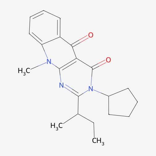 CCC(C)c1nc2c(c(=O)c3ccccc3n2C)c(=O)n1C1CCCC1